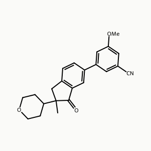 COc1cc(C#N)cc(-c2ccc3c(c2)C(=O)C(C)(C2CCOCC2)C3)c1